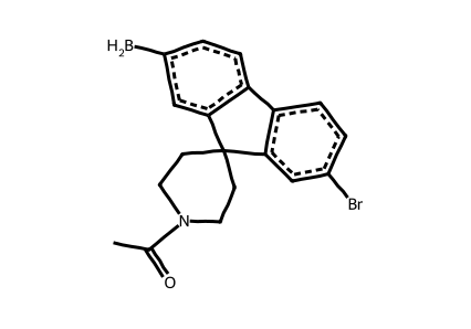 Bc1ccc2c(c1)C1(CCN(C(C)=O)CC1)c1cc(Br)ccc1-2